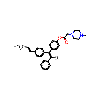 CCC(=C(c1ccc(C=CC(=O)O)cc1)c1ccc(OC(=O)CN2CCN(C)CC2)cc1)c1ccccc1